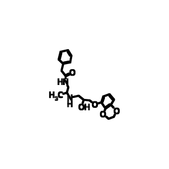 CC(CNC(=O)Cc1ccccc1)NCC(O)COc1cccc2c1OCCO2